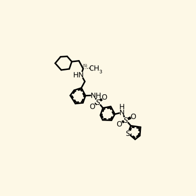 C[C@@H](CC1CCCCC1)NCc1ccccc1NS(=O)(=O)c1cccc(NS(=O)(=O)c2cccs2)c1